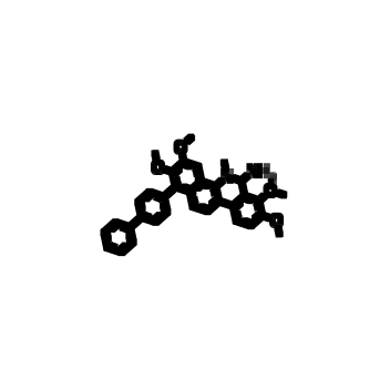 COc1ccc2c(c1OC)C(N)N(C)c1c-2ccc2c(-c3ccc(-c4ccccc4)cc3)c(OC)c(OC)cc12